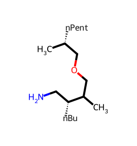 CCCCC[C@@H](C)COCC(C)[C@@H](CN)CCCC